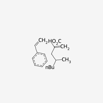 C=C(CC(C)CCCC)C(=O)O.C=Cc1ccccc1